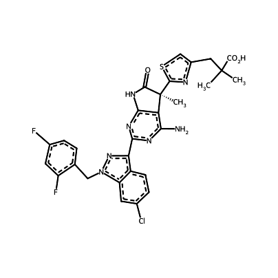 CC(C)(Cc1csc([C@]2(C)C(=O)Nc3nc(-c4nn(Cc5ccc(F)cc5F)c5cc(Cl)ccc45)nc(N)c32)n1)C(=O)O